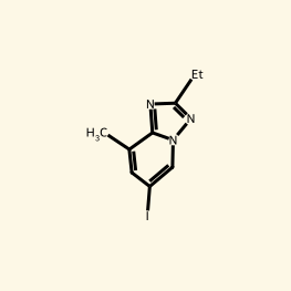 CCc1nc2c(C)cc(I)cn2n1